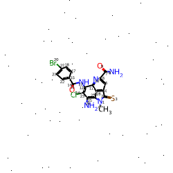 CN1C(=S)c2cc(C(N)=O)nc3c(NC(=O)c4ccc(Br)cc4)c(Cl)c(N)c1c23